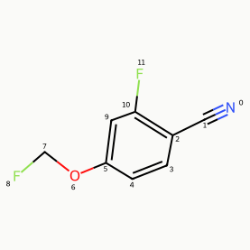 N#Cc1ccc(OCF)cc1F